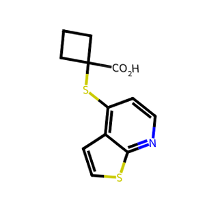 O=C(O)C1(Sc2ccnc3sccc23)CCC1